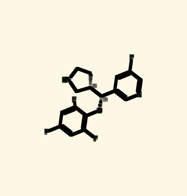 Fc1cncc([C@H](Oc2c(F)cc(F)cc2F)[C@H]2CCNC2)c1